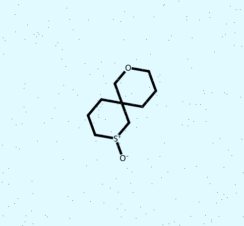 [O-][S+]1CCCC2(CCCOC2)C1